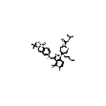 C=NCC[C@@]1(n2nc(Nc3ccc4c(c3)CN(C(C)(C)C)S4(=O)=O)c3c(=O)[nH]ccc32)CC[C@@H](C(=O)OC(C)C)OC1